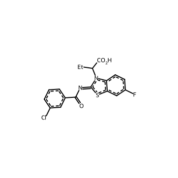 CCC(C(=O)O)n1/c(=N/C(=O)c2cccc(Cl)c2)sc2cc(F)ccc21